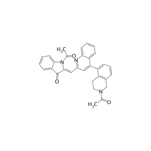 CC(=O)N1CCc2c(cccc2-c2cc(/C=C3/C(=O)c4ccccc4N3C(C)=O)nc3ccccc23)C1